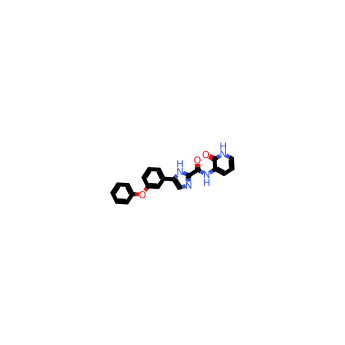 O=C(Nc1ccc[nH]c1=O)c1ncc(-c2cccc(Oc3ccccc3)c2)[nH]1